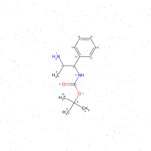 CC(N)C(NC(=O)OC(C)(C)C)c1ccccc1